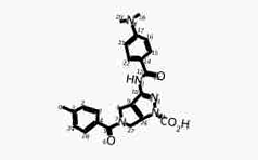 Cc1ccc(C(=O)N2Cc3c(NC(=O)c4ccc(N(C)C)cc4)nn(C(=O)O)c3C2)cc1